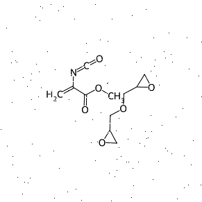 C(OCC1CO1)C1CO1.C=C(N=C=O)C(=O)OC